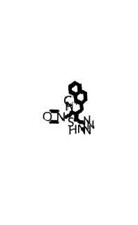 [C-]#[N+]c1c(N2CCOCC2)sc(-c2nnn[nH]2)c1Cc1ccc2ccccc2c1